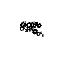 FC(F)(F)c1ccc(Nc2nc(OC3CCCC3)nc3c2CCN(c2ncccc2C(F)(F)F)CC3)cc1